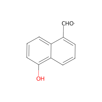 O=[C]c1cccc2c(O)cccc12